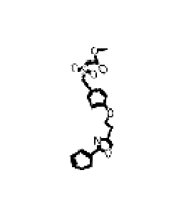 COC(=O)CS(=O)(=O)Cc1ccc(OCCc2coc(-c3ccccc3)n2)cc1